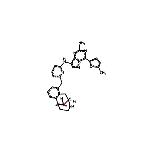 Cc1ccc(-c2nc(N)nc3c(Nc4cccc(Cc5cccc6c5C[C@H]5NCC[C@@]67CCCC[C@@H]57)n4)cnn23)o1